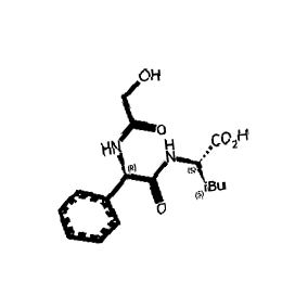 CC[C@H](C)[C@H](NC(=O)[C@H](NC(=O)CO)c1ccccc1)C(=O)O